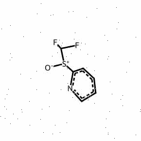 [O-][S+](c1ccccn1)C(F)F